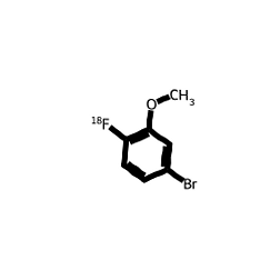 COc1cc(Br)ccc1[18F]